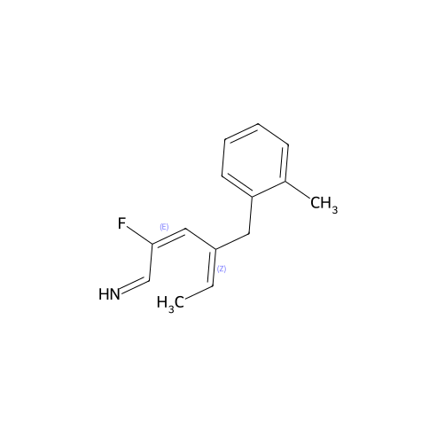 C/C=C(\C=C(\F)C=N)Cc1ccccc1C